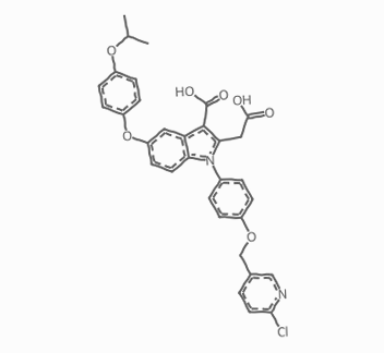 CC(C)Oc1ccc(Oc2ccc3c(c2)c(C(=O)O)c(CC(=O)O)n3-c2ccc(OCc3ccc(Cl)nc3)cc2)cc1